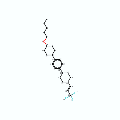 CCCCCOC1CCC(c2ccc(C3CCC(C=CC(F)(F)F)CC3)cc2)CC1